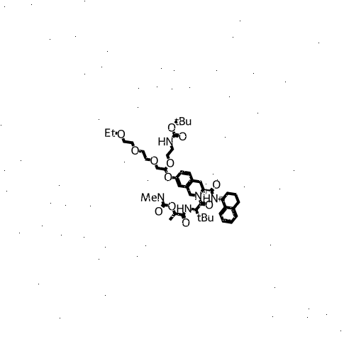 CCOCCOCCOCC(OCCNC(=O)OC(C)(C)C)Oc1ccc2c(c1)CN(C(=O)C(NC(=O)C(C)OC(=O)NC)C(C)(C)C)[C@H](C(=O)N[C@@H]1CCCc3ccccc31)C2